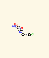 Cc1nn(-c2cccc(/C=C/c3ccc(Cl)cc3)c2)c(C)c1C(=O)N1CCC2(CC1)CNC(=O)O2